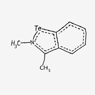 Cc1c2ccccc2[te][n+]1C